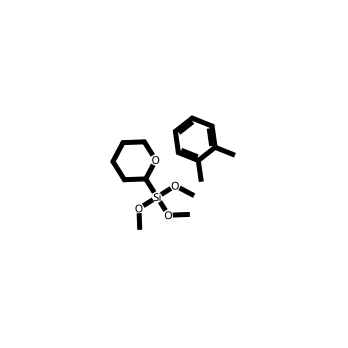 CO[Si](OC)(OC)C1CCCCO1.Cc1ccccc1C